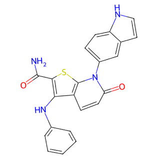 NC(=O)c1sc2c(ccc(=O)n2-c2ccc3[nH]ccc3c2)c1Nc1ccccc1